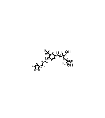 NC(CO)(CCc1ccc(OCCCc2cccs2)c(C(F)(F)F)c1)COP(=O)(O)O